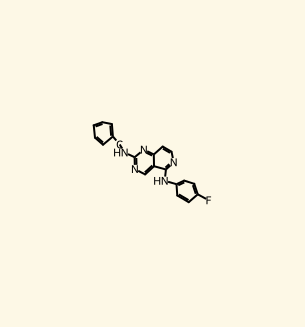 Fc1ccc(Nc2nccc3nc(NCc4ccccc4)ncc23)cc1